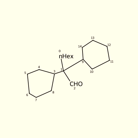 CCCCCCC(C=O)(C1CCCCC1)C1CCCCC1